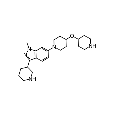 Cn1nc(C2CCCNC2)c2ccc(N3CCC(OC4CCNCC4)CC3)cc21